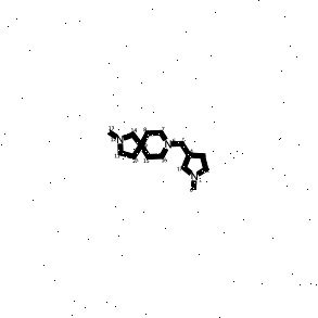 CN1CCC(CN2CCC3(CCN(C)C3)CC2)C1